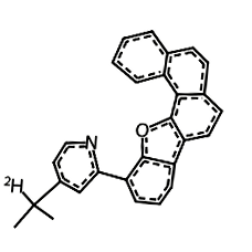 [2H]C(C)(C)c1ccnc(-c2cccc3c2oc2c3ccc3ccc4ccccc4c32)c1